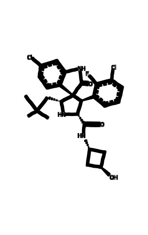 CC(C)(C)C[C@H]1N[C@@H](C(=O)N[C@H]2C[C@H](O)C2)[C@H](c2cccc(Cl)c2F)[C@@]12C(=O)Nc1cc(Cl)ccc12